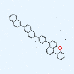 c1ccc2c(c1)Oc1ccc(-c3ccc(-c4ccc5cc(-c6ccc7ccccc7c6)ccc5c4)cc3)c3cccc-2c13